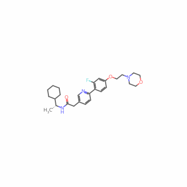 C[C@@H](NC(=O)Cc1ccc(-c2ccc(OCCN3CCOCC3)cc2F)nc1)C1CCCCC1